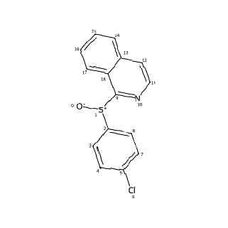 [O-][S+](c1ccc(Cl)cc1)c1nccc2ccccc12